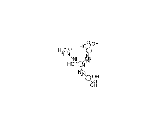 CC(=O)NCCNC(O)c1cc(-c2cn(-c3ccc(C(=O)O)c(O)c3)nn2)nc(-c2cn(-c3ccc(C(=O)O)c(O)c3)nn2)c1